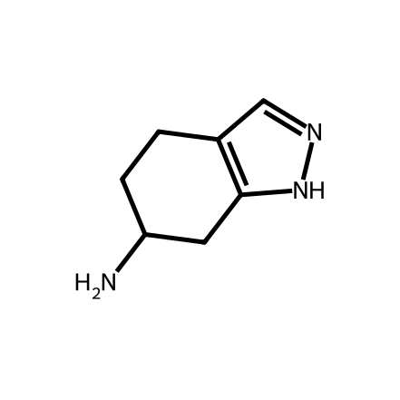 NC1CCc2cn[nH]c2C1